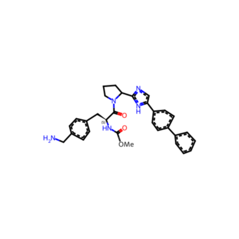 COC(=O)N[C@@H](Cc1ccc(CN)cc1)C(=O)N1CCCC1c1ncc(-c2ccc(-c3ccccc3)cc2)[nH]1